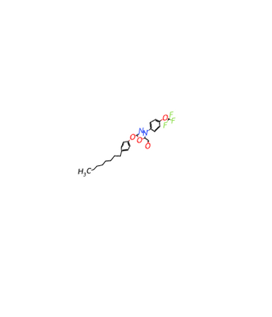 CCCCCCCCc1ccc(OC2=NN(c3ccc(OC(F)(F)F)cc3)C(C=O)O2)cc1